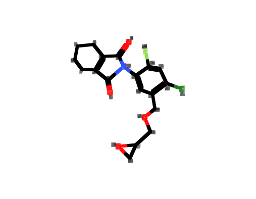 O=C1C2=C(CCCC2)C(=O)N1c1cc(COCC2CO2)c(Cl)cc1F